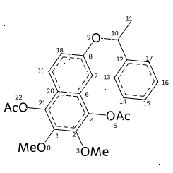 COc1c(OC)c(OC(C)=O)c2cc(OC(C)c3ccccc3)ccc2c1OC(C)=O